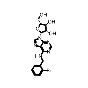 OC[C@H]1O[C@@H](n2cnc3c(NCc4ccccc4Br)ncnc32)[C@@H](O)[C@@H]1O